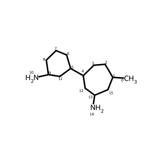 CC1CCC(C2CCCC(N)C2)CC(N)C1